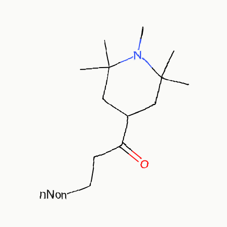 CCCCCCCCCCCC(=O)C1CC(C)(C)N(C)C(C)(C)C1